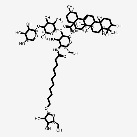 CC1C(O)C(O[C@@H]2OC[C@@H](O)C(O)C2O)[C@@H](C)O[C@H]1OC1C(O)C(NC(=O)CCCCCCCCCCO[C@@H]2O[C@@H](CO)C(O)C2O)[C@@H](CO)O[C@H]1OC(=O)C12CC[C@@H](C)CC1C1=CCC3C4(C)CCC(O)C(C)(C=O)[C@@H]4CC[C@@]3(C)[C@]1(C)C[C@H]2O